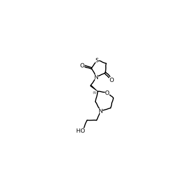 O=C1CSC(=O)N1C[C@@H]1CN(CCO)CCO1